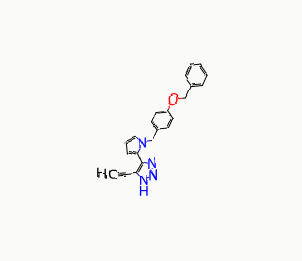 C#Cc1[nH]nnc1-c1cccn1Cc1ccc(OCc2ccccc2)cc1